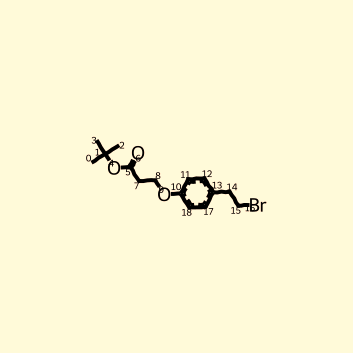 CC(C)(C)OC(=O)CCOc1ccc(CCBr)cc1